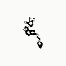 O=C1CC[C@H](c2coc3ccc4cc(OCCN5CC6CC6C5)ccc4c23)C(=O)N1